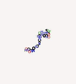 Cn1nc(C2CCC(=O)NC2=O)c2ccc(N3CCC(CN4CC5(CCN(c6ncc(Cl)c(Nc7ccc8c(c7)c7c(c(=O)n8C)OCC(F)(F)C(C8CC8)N7)n6)CC5)C4)CC3)cc21